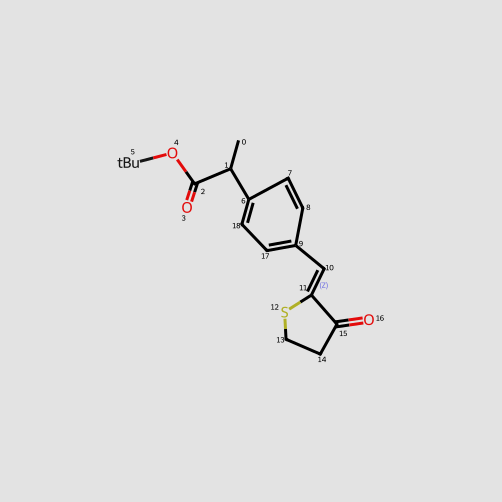 CC(C(=O)OC(C)(C)C)c1ccc(/C=C2\SCCC2=O)cc1